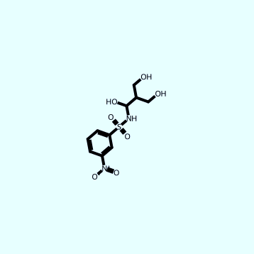 O=[N+]([O-])c1cccc(S(=O)(=O)NC(O)C(CO)CO)c1